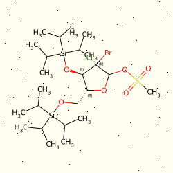 CC(C)[Si](OC[C@H]1OC(OS(C)(=O)=O)[C@](Cl)(Br)[C@@H]1O[Si](C(C)C)(C(C)C)C(C)C)(C(C)C)C(C)C